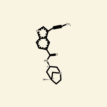 CC#Cc1coc2ccc(C(=O)N[C@@H]3C[C@@H]4CCN(C4)C3)cc12